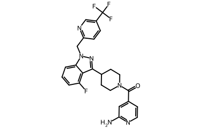 Nc1cc(C(=O)N2CCC(c3nn(Cc4ccc(C(F)(F)F)cn4)c4cccc(F)c34)CC2)ccn1